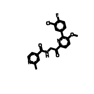 COc1ccc(C(=O)CNC(=O)c2ccnc(C)c2)nc1-c1ccc(F)c(Cl)c1